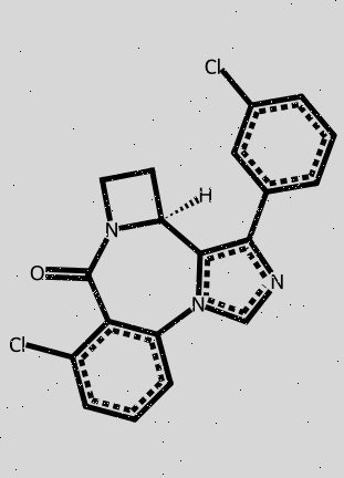 O=C1c2c(Cl)cccc2-n2cnc(-c3cccc(Cl)c3)c2[C@@H]2CCN12